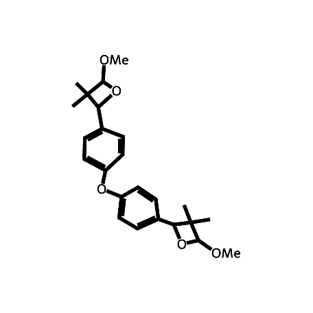 COC1OC(c2ccc(Oc3ccc(C4OC(OC)C4(C)C)cc3)cc2)C1(C)C